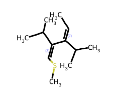 C/C=C(\C(=C/SC)C(C)C)C(C)C